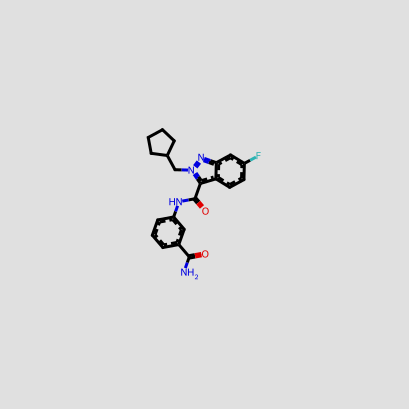 NC(=O)c1cccc(NC(=O)c2c3ccc(F)cc3nn2CC2CCCC2)c1